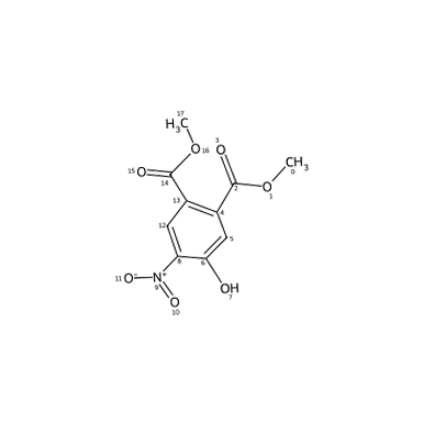 COC(=O)c1cc(O)c([N+](=O)[O-])cc1C(=O)OC